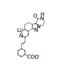 O=C([O-])c1cccc(C=Cc2cc3c(cn2)CCc2c-3nn3c2C(=O)NCC3)c1.[Li+]